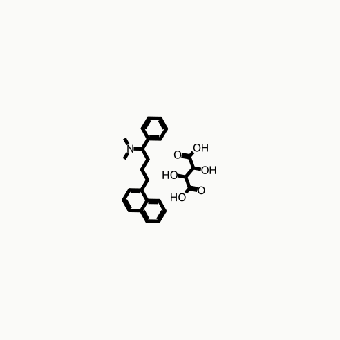 CN(C)C(CCCc1cccc2ccccc12)c1ccccc1.O=C(O)C(O)C(O)C(=O)O